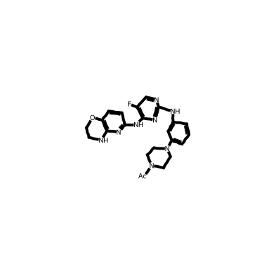 CC(=O)N1CCN(c2cccc(Nc3ncc(F)c(Nc4ccc5c(n4)NCCO5)n3)c2)CC1